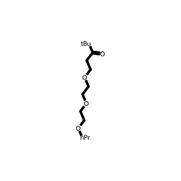 CCCOCCOCCOCCC(=O)C(C)(C)C